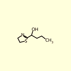 CCCC(O)C1=NCCS1